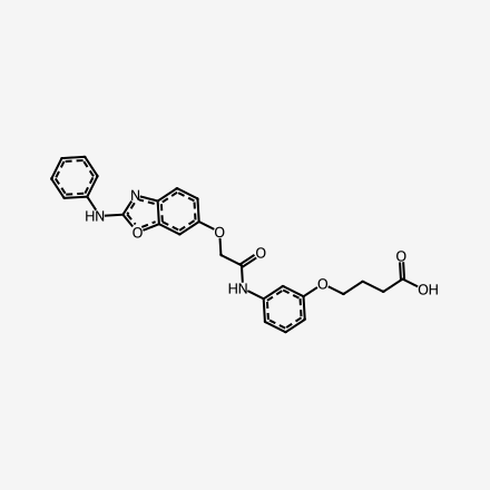 O=C(O)CCCOc1cccc(NC(=O)COc2ccc3nc(Nc4ccccc4)oc3c2)c1